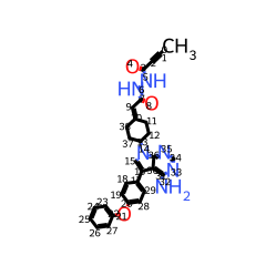 CC#CC(=O)NNC(=O)C=C1CCC(n2cc(-c3ccc(Oc4ccccc4)cc3)c3c(N)ncnc32)CC1